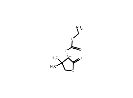 CC1(C)COC(=O)[C@H]1OC(=O)OCN